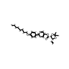 C=C[C@H]1OC(C)(C)O[C@H]1C(=O)Oc1cnc(-c2ccc(OCCCCCCCC)cc2)nc1